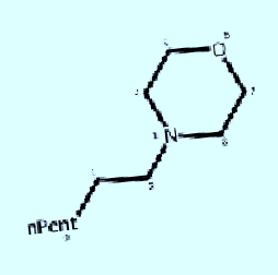 [CH2]CCCCCCN1CCOCC1